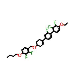 CCCCOc1ccc(COC2CC=C(c3ccc(-c4ccc(OCC)c(F)c4F)c(F)c3)CC2)c(F)c1F